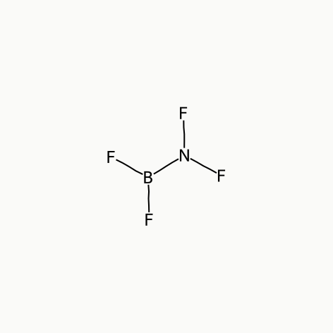 FB(F)N(F)F